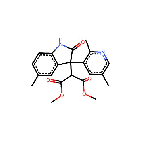 COC(=O)C(C(=O)OC)C1(c2cc(C)cnc2C)C(=O)Nc2ccc(C)cc21